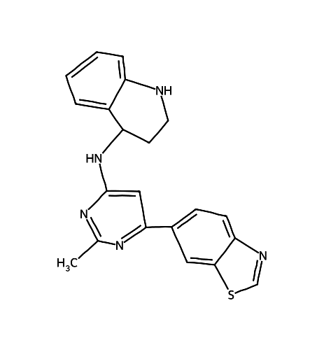 Cc1nc(NC2CCNc3ccccc32)cc(-c2ccc3ncsc3c2)n1